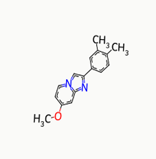 COc1ccn2cc(-c3ccc(C)c(C)c3)nc2c1